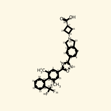 Cc1cc(-c2nc(-c3ccc4c(c3)CN([C@H]3C[C@H](C(=O)O)C3)C4)no2)cc(C)c1-c1ccccc1C(F)(F)F